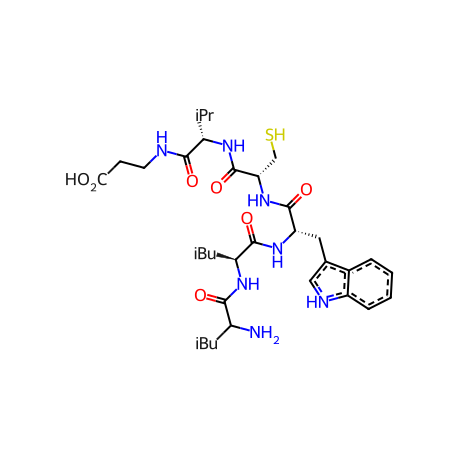 CCC(C)C(N)C(=O)N[C@H](C(=O)N[C@@H](Cc1c[nH]c2ccccc12)C(=O)N[C@@H](CS)C(=O)N[C@H](C(=O)NCCC(=O)O)C(C)C)C(C)CC